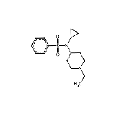 CCN1CCC(N(C2CC2)S(=O)(=O)c2ccccc2)CC1